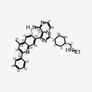 CCNC[C@H]1CC[C@H](c2nc(-c3ccc4c(C)cc(-c5ccccc5)nc4c3)c3c(N)nccn32)CC1